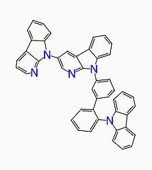 c1cc(-c2ccccc2-n2c3ccccc3c3ccccc32)cc(-n2c3ccccc3c3cc(-n4c5ccccc5c5cccnc54)cnc32)c1